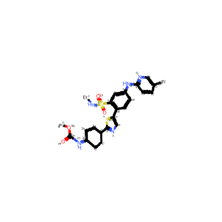 CCNS(=O)(=O)c1cc(Nc2ccc(C(C)C)cn2)ccc1-c1cnc(C2CCC(NC(=O)OC(C)C)CC2)s1